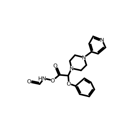 O=CNOC(=O)C(Oc1ccccc1)N1CCN(c2ccncc2)CC1